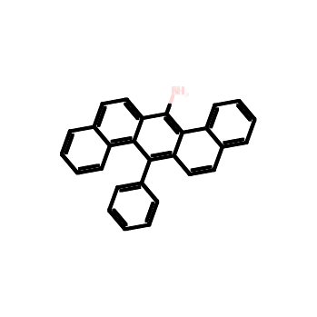 Bc1c2ccc3ccccc3c2c(-c2ccccc2)c2ccc3ccccc3c12